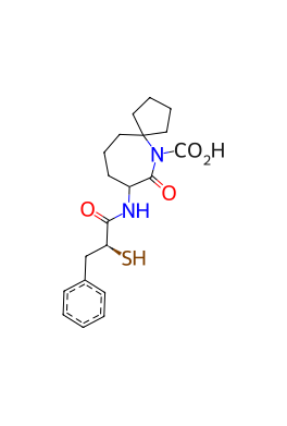 O=C(NC1CCCC2(CCCC2)N(C(=O)O)C1=O)[C@@H](S)Cc1ccccc1